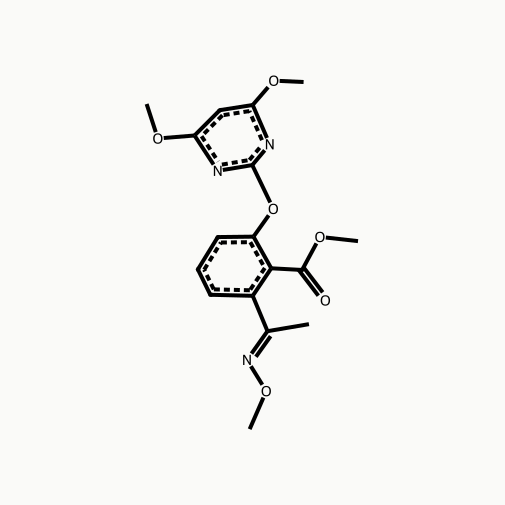 CO/N=C(\C)c1cccc(Oc2nc(OC)cc(OC)n2)c1C(=O)OC